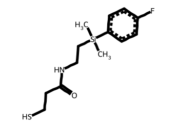 C[Si](C)(CCNC(=O)CCS)c1ccc(F)cc1